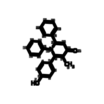 Cc1c(-c2ccc(O)cc2)n(-c2ccccc2)c(-c2ccccc2)cc1=O